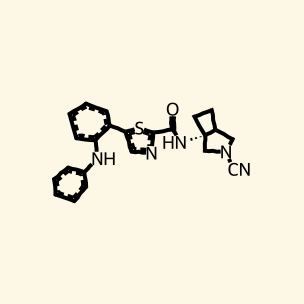 N#CN1CC2CC[C@]2(NC(=O)c2ncc(-c3ccccc3Nc3ccccc3)s2)C1